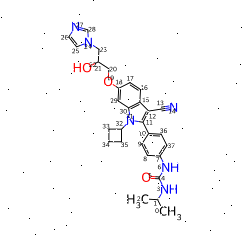 CC(C)NC(=O)Nc1ccc(-c2c(C#N)c3ccc(OCC(O)Cn4ccnc4)cc3n2C2CCC2)cc1